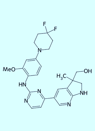 COc1cc(N2CCC(F)(F)CC2)ccc1Nc1nccc(-c2cnc3c(c2)C(C)(CO)CN3)n1